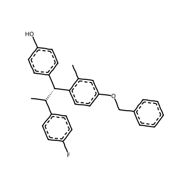 Cc1cc(OCc2ccccc2)ccc1[C@@H](c1ccc(O)cc1)C(C)c1ccc(F)cc1